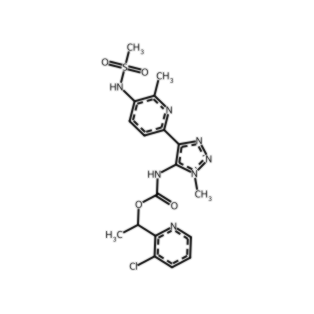 Cc1nc(-c2nnn(C)c2NC(=O)OC(C)c2ncccc2Cl)ccc1NS(C)(=O)=O